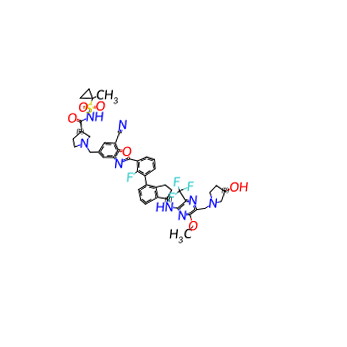 COc1nc(N[C@@H]2CCc3c(-c4cccc(-c5nc6cc(CN7CC[C@@H](C(=O)NS(=O)(=O)C8(C)CC8)C7)cc(C#N)c6o5)c4F)cccc32)c(C(F)(F)F)nc1CN1CC[C@@H](O)C1